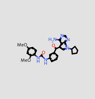 COc1ccc(NC(=O)Nc2cccc(C(=O)c3cn(C4CCCC4)c4ncnc(N)c34)c2)c(OC)c1